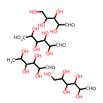 CC(O)C(O)C(O)C(O)C=O.O=CC(O)C(O)C(O)C(O)C(=O)O.O=CC(O)C(O)C(O)C(O)CO.O=CC(O)C(O)C(O)CO